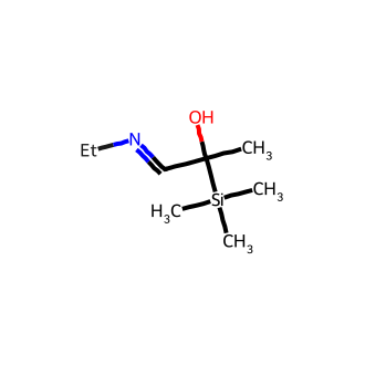 CCN=CC(C)(O)[Si](C)(C)C